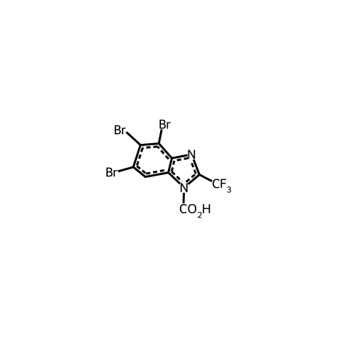 O=C(O)n1c(C(F)(F)F)nc2c(Br)c(Br)c(Br)cc21